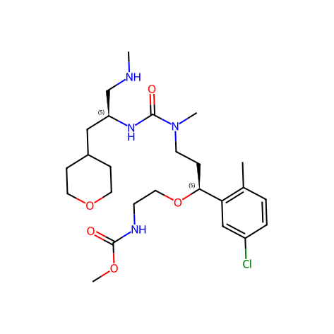 CNC[C@H](CC1CCOCC1)NC(=O)N(C)CC[C@H](OCCNC(=O)OC)c1cc(Cl)ccc1C